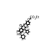 CCOC(=O)COc1cccc(Cn2c(=O)c3cc(F)c(NC4CCCCC4)cc3n(C3CCCC3)c2=O)c1